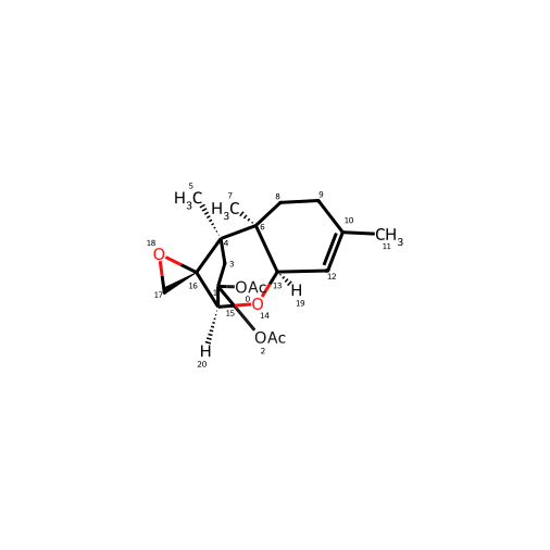 CC(=O)OC1(OC(C)=O)C[C@]2(C)[C@@]3(C)CCC(C)=C[C@H]3O[C@H]1[C@@]21CO1